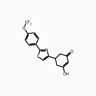 O=C1C=C(O)CC(c2csc(-c3ccc(OC(F)(F)F)cc3)n2)C1